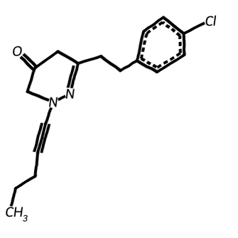 CCCC#CN1CC(=O)CC(CCc2ccc(Cl)cc2)=N1